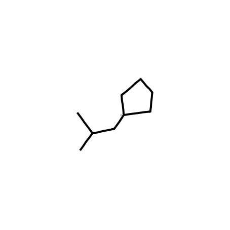 CC(C)C[C]1CCCC1